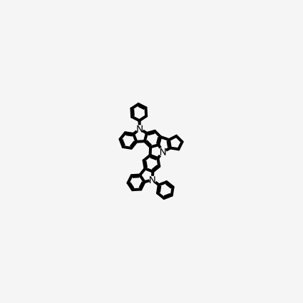 C1=CCC(n2c3ccccc3c3c4c5cc6c7ccccc7n(-c7ccccc7)c6cc5n5c6c(c(cc32)c45)CCC6)C=C1